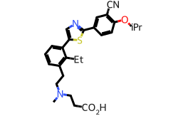 CCc1c(CCN(C)CCC(=O)O)cccc1-c1cnc(-c2ccc(OC(C)C)c(C#N)c2)s1